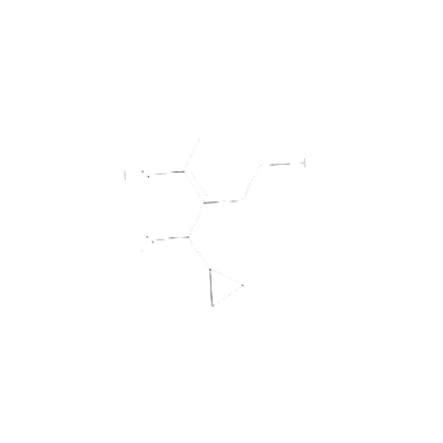 C/C(N)=C(\CCO)C(N)C1CC1